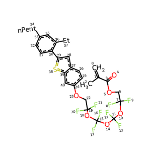 C=C(C)C(=O)OCC(F)(F)OC(F)(F)OC(F)(F)OC(F)(F)COc1ccc2cc(-c3ccc(CCCCC)cc3CC)sc2c1